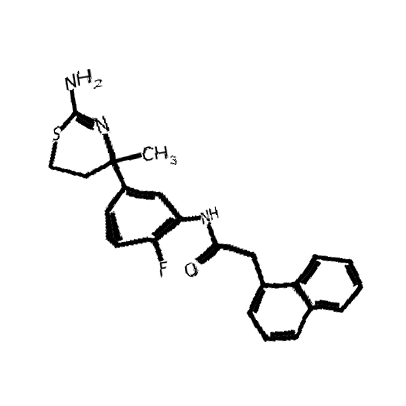 CC1(c2ccc(F)c(NC(=O)Cc3cccc4ccccc34)c2)CCSC(N)=N1